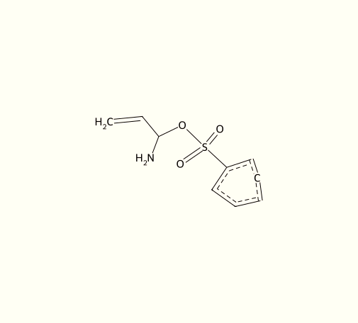 C=CC(N)OS(=O)(=O)c1ccccc1